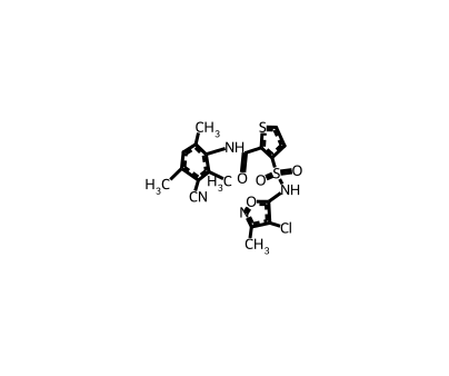 Cc1cc(C)c(NC(=O)c2sccc2S(=O)(=O)Nc2onc(C)c2Cl)c(C)c1C#N